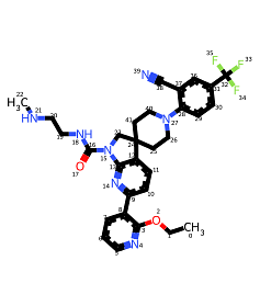 CCOc1ncccc1-c1ccc2c(n1)N(C(=O)NCCNC)CC21CCN(c2ccc(C(F)(F)F)cc2C#N)CC1